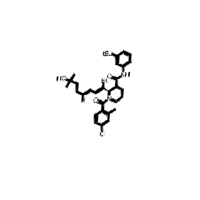 CC/C(=C\C=C(/C)CCC(C)(C)O)[C@H]1C(C(=O)Nc2cccc(C(C)(C)C)c2)CCCN1C(=O)c1ccc(Cl)cc1C